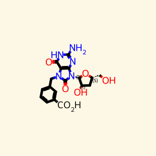 Nc1nc2c(c(=O)[nH]1)n(Cc1cccc(C(=O)O)c1)c(=O)n2[C@@H]1O[C@H](CO)C[C@H]1O